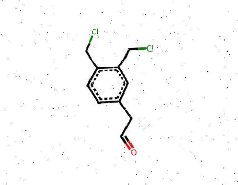 O=CCc1ccc(CCl)c(CCl)c1